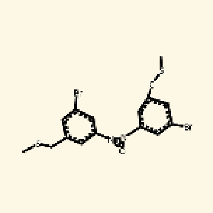 CSCc1cc(Br)cc(-n2on2-c2cc(Br)cc(CSC)c2)c1